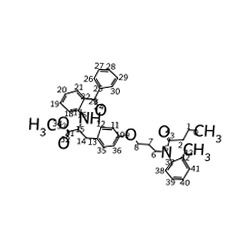 CCCC(=O)N(CCCOc1ccc(CC(Nc2ccccc2C(=O)c2ccccc2)C(=O)OC)cc1)c1ccccc1C